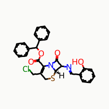 O=C(OC(c1ccccc1)c1ccccc1)C1=C(CCl)CS[C@H]2C(N=Cc3ccccc3O)C(=O)N12